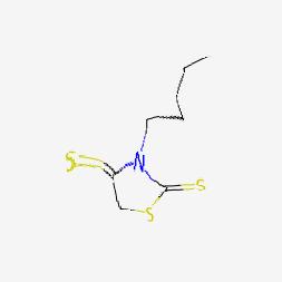 CCCCN1C(=S)CSC1=S